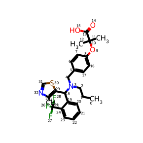 CCCN(Cc1ccc(OC(C)(C)C(=O)O)cc1)C(c1ccccc1C(F)(F)F)c1scnc1C